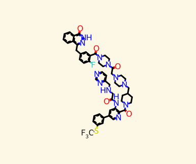 O=C(CNCc1ccncn1)Nc1cc(-c2cccc(SC(F)(F)F)c2)cnc1C(=O)N1CCC(CN2CCN(CC(=O)N3CCN(C(=O)c4cc(Cc5n[nH]c(=O)c6ccccc56)ccc4F)CC3)CC2)CC1